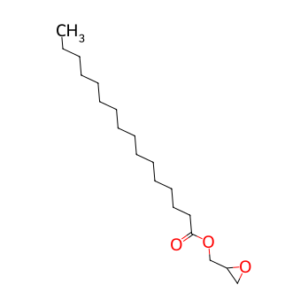 CCCCCCCCCCCCCCCC(=O)OCC1CO1